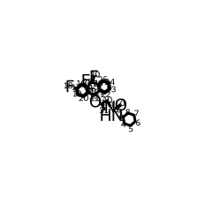 O=C(NC1CCCCC1)N1CC(OC(c2ccc(F)cc2)c2ccccc2C(F)(F)F)C1